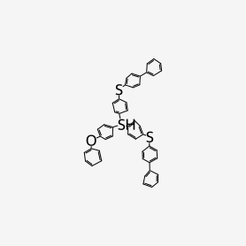 c1ccc(Oc2ccc([SH](c3ccc(Sc4ccc(-c5ccccc5)cc4)cc3)c3ccc(Sc4ccc(-c5ccccc5)cc4)cc3)cc2)cc1